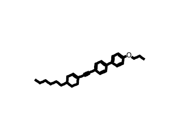 CCCCCCC1CC=C(C#Cc2ccc(-c3ccc(OCCC)cc3)cc2)CC1